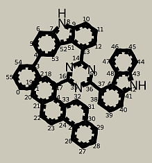 c1ccc(-c2ccc3[nH]c4cccc(-c5nc(-c6cccc7ccc8c9ccccc9ccc8c67)nc(-c6cccc7[nH]c8ccccc8c67)n5)c4c3c2)cc1